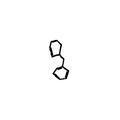 C1=CCC(Cc2ccccc2)C=C1